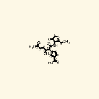 CCC1OCC(=O)C1NC(=O)C(C(C)CCC(N)=O)n1ccc(C(=O)O)c1